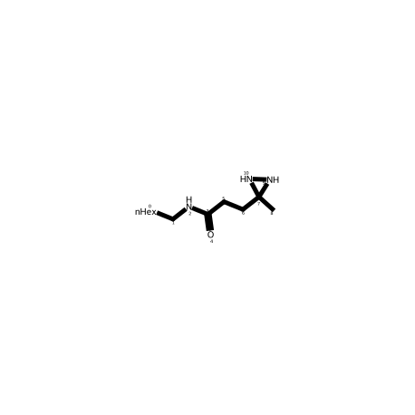 CCCCCCCNC(=O)CCC1(C)NN1